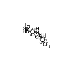 O=C(Nc1ccc(N[SH](=O)=O)cc1)Nc1ccc(C(F)(F)F)cc1